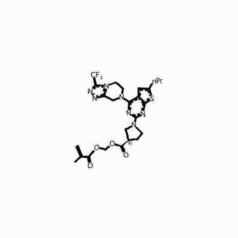 C=C(C)C(=O)OCOC(=O)[C@@H]1CCN(c2nc(N3CCn4c(nnc4C(F)(F)F)C3)c3cc(CCC)sc3n2)C1